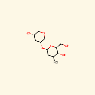 O=N[C@H]1C[C@@H](O[C@H]2COC[C@@H](O)C2)O[C@@H](CO)[C@@H]1O